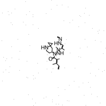 C=C/C(C)=C(\C)C(=O)N(NN(C)/C(C)=C\NN=C)C1CCNC2(CC2)C1